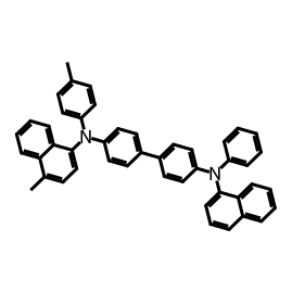 Cc1ccc(N(c2ccc(-c3ccc(N(c4ccccc4)c4cccc5ccccc45)cc3)cc2)c2ccc(C)c3ccccc23)cc1